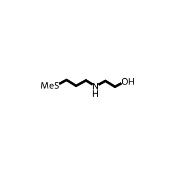 CSCCCNCCO